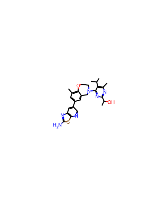 Cc1cc(-c2cnc3sc(N)nc3c2)cc2c1OCCN(c1nc(C(C)O)nc(C)c1C(C)C)C2